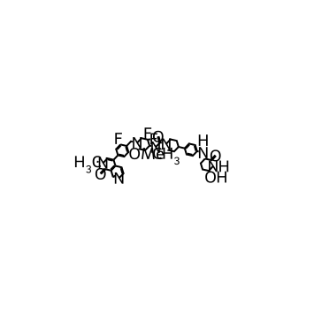 COc1cc(-c2cn(C)c(=O)c3cnccc23)cc(F)c1CN1CCC(N(C)C(=O)N2CCC(c3ccc(NC4CCC(O)NC4=O)cc3)CC2)C(F)(F)C1